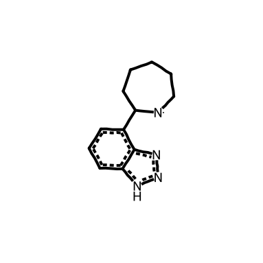 c1cc(C2CCCCC[N]2)c2nn[nH]c2c1